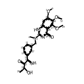 COc1cc2[nH]c(N(C)Cc3cccc(C(=N)C(=O)C(C)O)c3)nc(=O)c2c(OC)c1OC